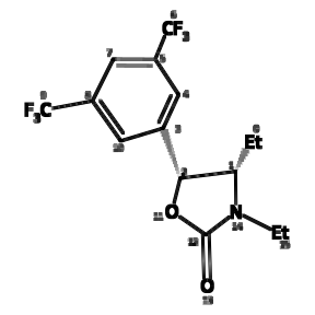 CC[C@H]1[C@@H](c2cc(C(F)(F)F)cc(C(F)(F)F)c2)OC(=O)N1CC